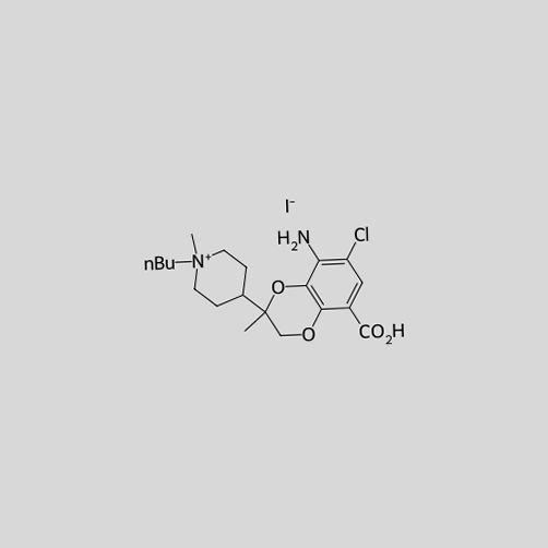 CCCC[N+]1(C)CCC(C2(C)COc3c(C(=O)O)cc(Cl)c(N)c3O2)CC1.[I-]